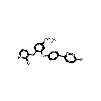 CC(C)c1ccc(-c2ccc(Oc3cc(C(=O)O)ccc3Cc3ccc[nH]c3=O)cc2)nn1